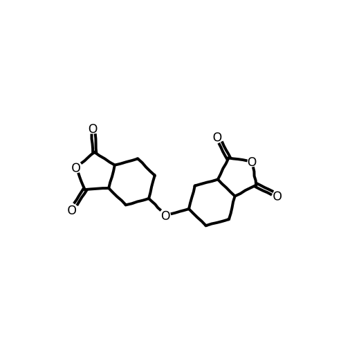 O=C1OC(=O)C2CC(OC3CCC4C(=O)OC(=O)C4C3)CCC12